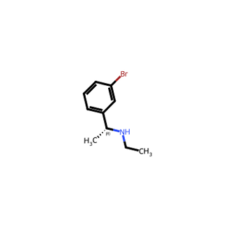 CCN[C@H](C)c1cccc(Br)c1